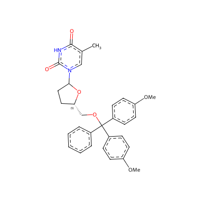 COc1ccc(C(OC[C@@H]2CCC(n3cc(C)c(=O)[nH]c3=O)O2)(c2ccccc2)c2ccc(OC)cc2)cc1